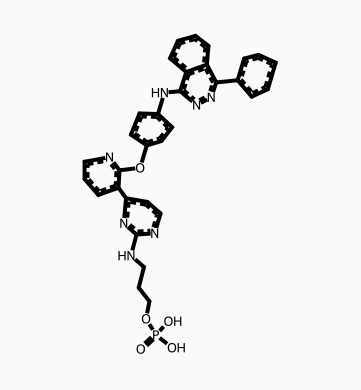 O=P(O)(O)OCCCNc1nccc(-c2cccnc2Oc2ccc(Nc3nnc(-c4ccccc4)c4ccccc34)cc2)n1